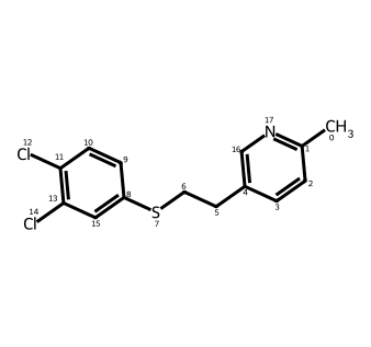 Cc1ccc(CCSc2ccc(Cl)c(Cl)c2)cn1